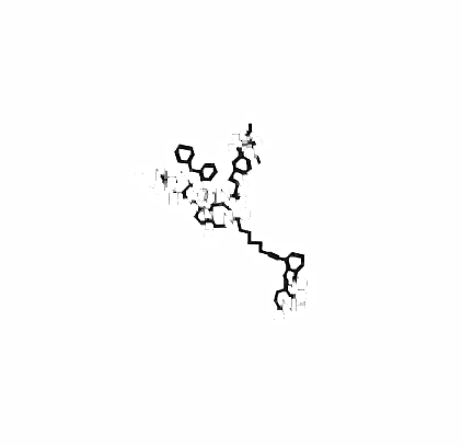 CCOP(=O)(OCC)C(F)(F)c1ccc2sc(C(=O)N[C@H]3CN(C(=O)CCCCCC#Cc4cccc5c4CN(C4CCC(=O)NC4=O)C5=O)CC[C@H]4CC[C@@H](C(=O)N[C@@H](COC(N)=O)C(=O)NC(c5ccccc5)c5ccccc5)N4C3=O)cc2c1